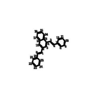 C(=Cc1cc(C=Cc2ccccc2)c2ccccc2c1)c1ccccc1